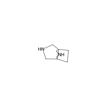 C1CC23CNCC12CNC3